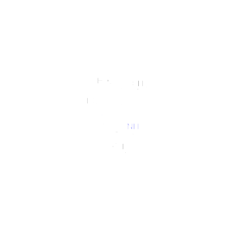 C=C(N)/C=C(/C)C=C(C)C